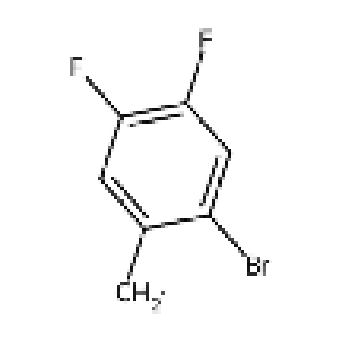 [CH2]c1cc(F)c(F)cc1Br